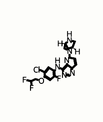 Fc1cc(OCC(F)F)c(Cl)cc1Nc1ncnc2ccc(N3C[C@@H]4C[C@H]3CN4)nc12